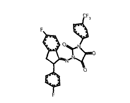 O=C1C(=O)N(c2ccc(C(F)(F)F)cc2)C(=O)N1/N=C1\c2ccc(F)cc2CC1c1ccc(F)cc1